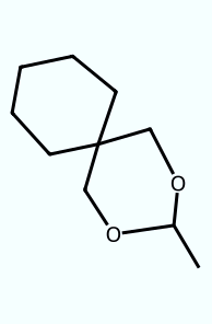 CC1OCC2(CCCCC2)CO1